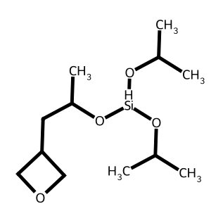 CC(C)O[SiH](OC(C)C)OC(C)CC1COC1